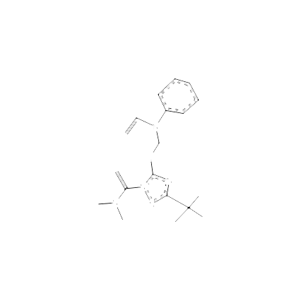 CN(C)C(=O)n1nc(C(C)(C)C)nc1SCN(C=O)c1ccccc1